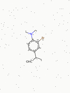 CC(C=O)c1ccc(N(C)C)c(Br)c1